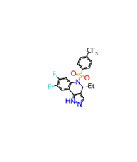 CC[C@@H]1c2cn[nH]c2-c2cc(F)c(F)cc2N1S(=O)(=O)c1ccc(C(F)(F)F)cc1